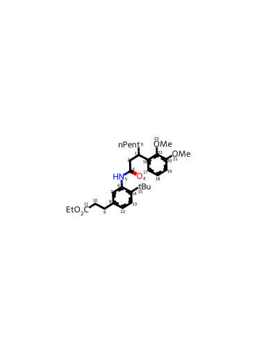 CCCCCC(CC(=O)Nc1cc(CCC(=O)OCC)ccc1C(C)(C)C)c1cccc(OC)c1OC